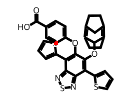 O=C(O)c1ccc(Oc2c(OC3C4=C5CCC(=C3CC4)C5)c(-c3cccs3)c3nsnc3c2-c2cccs2)cc1